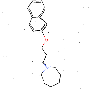 c1ccc2cc(OCCCN3CCCCCC3)ccc2c1